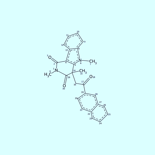 CN1C(=O)c2c(n(C)c3ccccc23)C(C)(CC(=O)c2ccc3ccccc3c2)C1=O